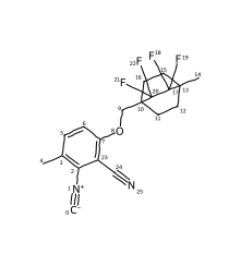 [C-]#[N+]c1c(C)ccc(OCC23CCC(C)(CC2)C(F)(F)C3(F)F)c1C#N